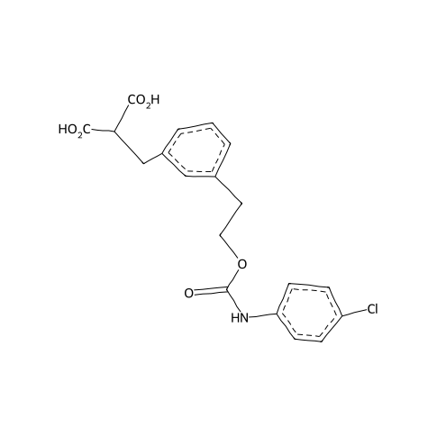 O=C(Nc1ccc(Cl)cc1)OCCc1cccc(CC(C(=O)O)C(=O)O)c1